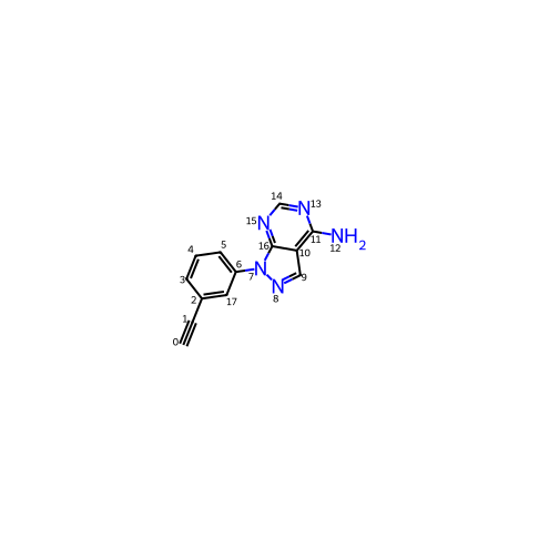 C#Cc1cccc(-n2ncc3c(N)ncnc32)c1